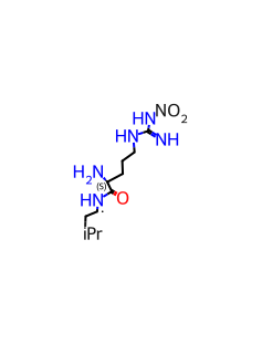 CC(C)C[CH]NC(=O)[C@@H](N)CCCNC(=N)N[N+](=O)[O-]